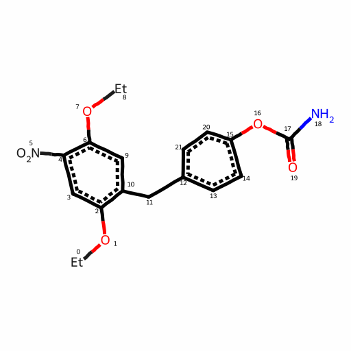 CCOc1cc([N+](=O)[O-])c(OCC)cc1Cc1ccc(OC(N)=O)cc1